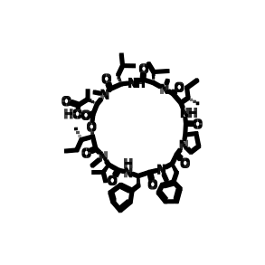 CC[C@H](C)C1NC(=O)C2CCCN2C(=O)[C@@H](Cc2ccccc2)N(C)C(=O)[C@@H](Cc2ccccc2)NC(=O)[C@@H](C(C)C)N(C)C(=O)[C@H]([C@@H](C)CC)OC(=O)[C@H](C(C)C(=O)O)N(C)C(=O)[C@H](CC(C)C)NC(=O)[C@H](C(C)C)N(C)C1=O